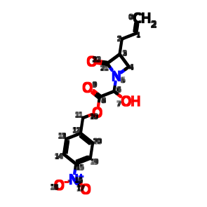 C=CCC1CN(C(O)C(=O)OCc2ccc([N+](=O)[O-])cc2)C1=O